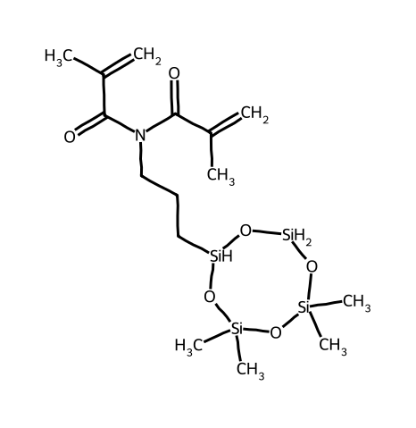 C=C(C)C(=O)N(CCC[SiH]1O[SiH2]O[Si](C)(C)O[Si](C)(C)O1)C(=O)C(=C)C